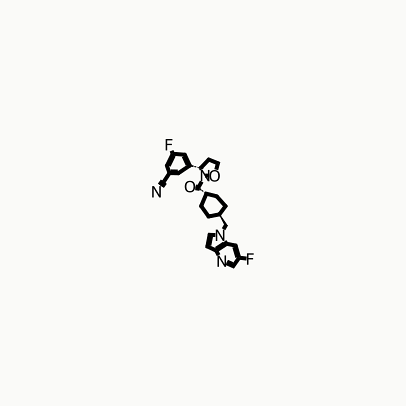 N#Cc1cc(F)cc([C@@H]2CCON2C(=O)[C@H]2CC[C@H](Cn3ccc4ncc(F)cc43)CC2)c1